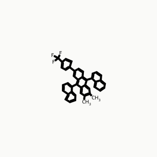 Cc1cc2c(-c3cccc4ccccc34)c3ccc(-c4ccc(C(F)(F)F)cc4)cc3c(-c3cccc4ccccc34)c2cc1C